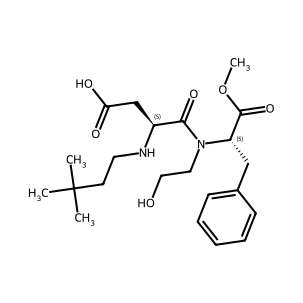 COC(=O)[C@H](Cc1ccccc1)N(CCO)C(=O)[C@H](CC(=O)O)NCCC(C)(C)C